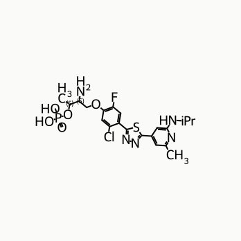 Cc1cc(-c2nnc(-c3cc(F)c(OC[C@H](N)[C@H](C)OP(=O)(O)O)cc3Cl)s2)cc(NC(C)C)n1